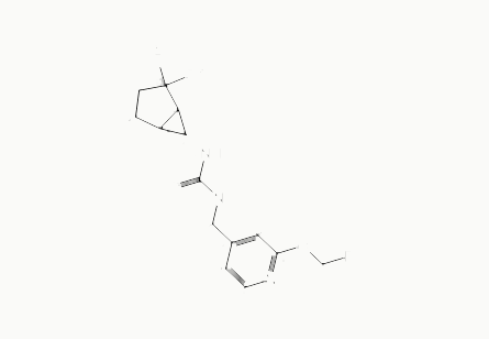 O=C(NCc1ccnc(OCF)c1)N[C@@H]1C2CCC(F)(F)C21